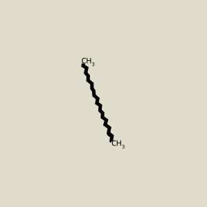 CCC=CCCCCCCCCCCCCCCCCCCC